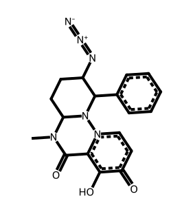 CN1C(=O)c2c(O)c(=O)ccn2N2C(c3ccccc3)C(N=[N+]=[N-])CCC12